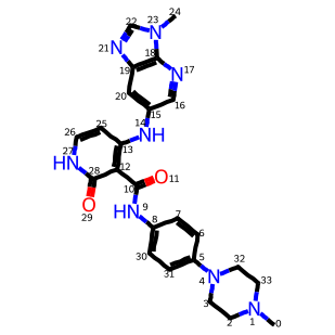 CN1CCN(c2ccc(NC(=O)c3c(Nc4cnc5c(c4)ncn5C)cc[nH]c3=O)cc2)CC1